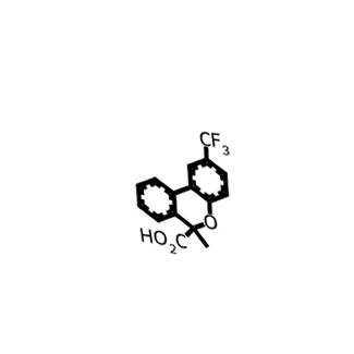 CC1(C(=O)O)Oc2ccc(C(F)(F)F)cc2-c2ccccc21